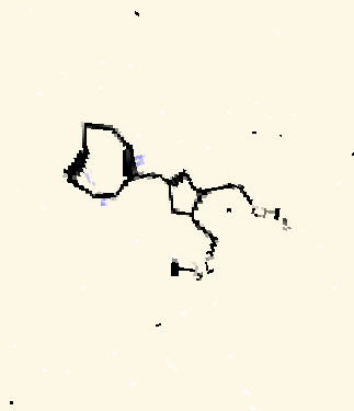 CCC1C=C(C2=C/CC/C=C/C=C\2)CC1CC